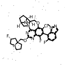 C[C@@H]1Oc2c(Cl)c(-c3c(F)ccc4cnn(C)c34)c(F)c3nc(OC[C@@]45CCCN4C[C@H](F)C5)nc(c23)N2C[C@H]3CC[C@H](N3)[C@@H]12